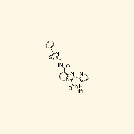 CC(C)NC(=O)c1c(-c2ccccn2)nc2c(C(=O)NCc3csc(-c4ccccc4)n3)cccn12